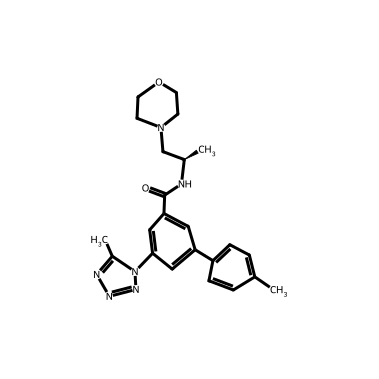 Cc1ccc(-c2cc(C(=O)N[C@H](C)CN3CCOCC3)cc(-n3nnnc3C)c2)cc1